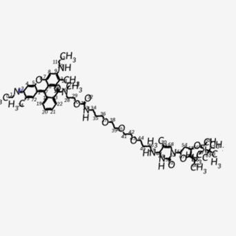 CC/N=c1/cc2oc3cc(NCC)c(C)cc3c(-c3ccccc3C(=O)N(C)CCOC(=O)NCCCOCCOCCOCCCNC3NC(=O)N(C4CC(O[Si](C)(C)C(C)(C)C)C(CC)O4)C=C3C)c-2cc1C